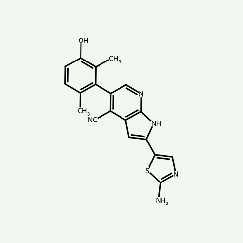 Cc1ccc(O)c(C)c1-c1cnc2[nH]c(-c3cnc(N)s3)cc2c1C#N